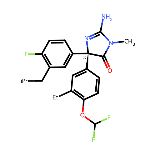 CCc1cc([C@@]2(c3ccc(F)c(CC(C)C)c3)N=C(N)N(C)C2=O)ccc1OC(F)F